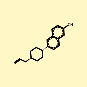 C=CC[C@H]1CC[C@H](c2ccc3cc(C#N)ccc3c2)CC1